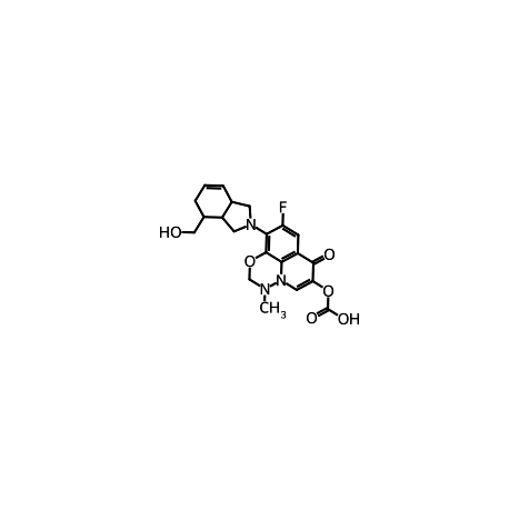 CN1COc2c(N3CC4C=CCC(CO)C4C3)c(F)cc3c(=O)c(OC(=O)O)cn1c23